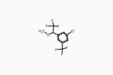 COC(c1cc(Cl)cc(C(F)(F)F)c1)C(F)(F)F